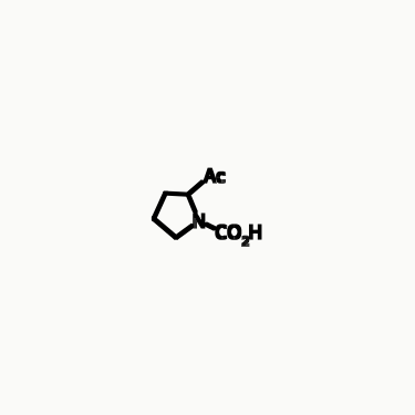 CC(=O)C1CCCN1C(=O)O